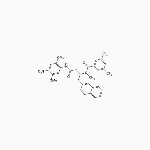 COc1cc([N+](=O)[O-])c(OC)cc1NC(=O)CC(Cc1ccc2ccccc2c1)N(C)C(=O)c1cc(C(F)(F)F)cc(C(F)(F)F)c1